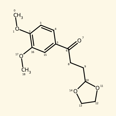 COc1ccc(C(=O)CCC2OCCO2)cc1OC